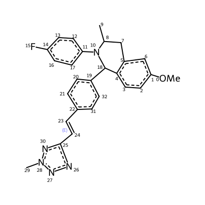 COc1ccc2c(c1)CC(C)N(c1ccc(F)cc1)C2c1ccc(/C=C/c2nnn(C)n2)cc1